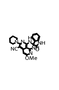 COc1cc2c(C#N)c(N3CCCCC3)nc3c2c(n1)NC1(N3)C(=O)Nc2ccccc21